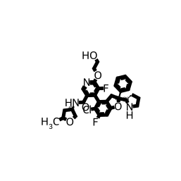 CC1C[C@@H](NC(=O)c2cnc(OCCO)c(F)c2-c2c(Cl)c(F)cc3c2C[C@](c2ccccc2)([C@@H]2CCCN2)O3)CO1